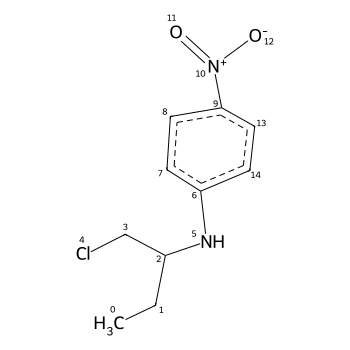 CCC(CCl)Nc1ccc([N+](=O)[O-])cc1